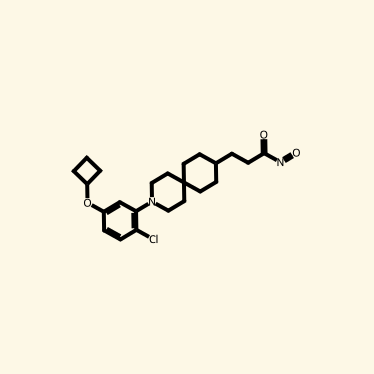 O=NC(=O)CCC1CCC2(CC1)CCN(c1cc(OC3CCC3)ccc1Cl)CC2